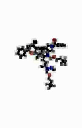 C=NN(COCC[Si](C)(C)C)/C(C)=C/CC([C@H](C)/C(F)=C(\C=C(CC)CC)OCc1ccccc1)N(COCC[Si](C)(C)C)C1=C(NC)CN(C(=O)OC)C1